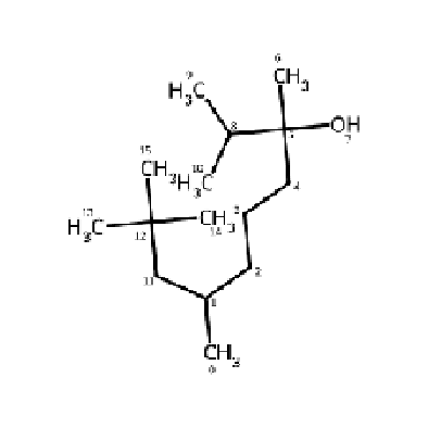 CC(CCCC(C)(O)C(C)C)CC(C)(C)C